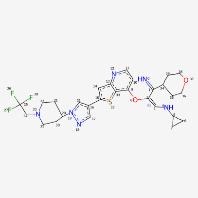 N=C(/C(=C\NC1CC1)Oc1ccnc2cc(-c3cnn(C4CCN(CC(F)(F)F)CC4)c3)sc12)C1CCOCC1